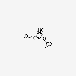 COCCOc1cncc(OC[C@@H]2CCCN2C)c1.Cl.Cl